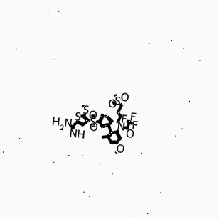 COc1cc(C)c(-c2cccc(S(=O)(=O)c3cc(C(=N)N)sc3SC)c2)c(N(CCCCS(C)(=O)=O)C(=O)C(F)(F)F)c1